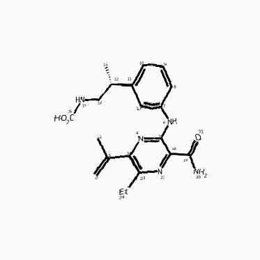 C=C(C)c1nc(Nc2cccc([C@@H](C)CNC(=O)O)c2)c(C(N)=O)nc1CC